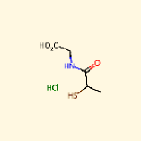 CC(S)C(=O)NCC(=O)O.Cl